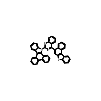 c1ccc2c(-c3cc4sc5ccccc5c4c4ccccc34)nc(-n3c4ccccc4c4c5ccccc5c5ccccc5c43)nc2c1